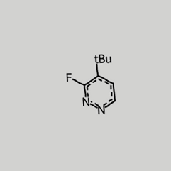 CC(C)(C)c1ccnnc1F